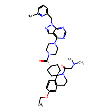 CCOc1ccc2c(c1)CCN(C(=O)CN(C)C)[C@]21CC[C@@H](C(=O)N2CCN(c3ncnc4c3cnn4Cc3cccc(C)n3)CC2)CC1